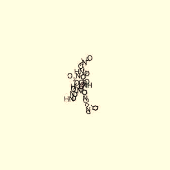 Cc1ccccc1[C@@H]1CCCN1C1CC2(CCN(c3ccc(C(=O)NS(=O)(=O)c4cc5c(c([N+](=O)[O-])c4)N[C@H]([C@H]4CN(C6COC6)[C@H](C)CO4)CO5)c(N4c5cc6cc[nH]c6nc5O[C@H]5COCC[C@H]54)c3)CC2)C1